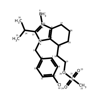 [BH3-][n+]1c2c(n(Cc3ccc(Cl)cc3)c1C(C)C)C(CCOS(C)(=O)=O)CCC2